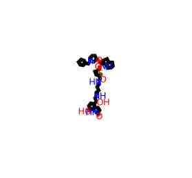 O=C(NCCCCNCC(O)c1ccc(O)c2[nH]c(=O)ccc12)c1ccc(CN[C@]2(C(=O)OC3CCCN(Cc4ccccc4)C3)CCc3ccccc32)s1